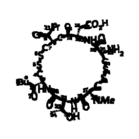 CCC(C)C(=O)[C@@H]1CSSC[C@@H](C(=O)C(C)C)CC(=O)[C@H](CC(=O)O)NC(=O)[C@@H](N)CSSC[C@H](NC)C(=O)N[C@@H]([C@@H](C)O)C(=O)N1